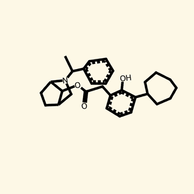 CC(c1ccccc1)N1CC2CCC1C2OC(=O)Cc1cccc(C2CCCCCC2)c1O